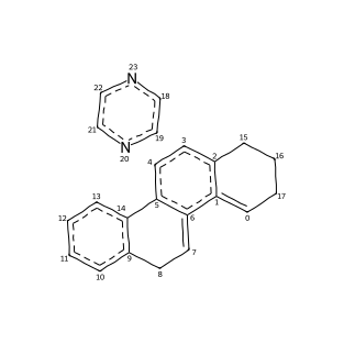 C1=c2c(ccc3c2=CCc2ccccc2-3)CCC1.c1cnccn1